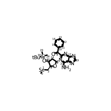 C[Se]C[C@@H]1O[C@@H](n2c(C(=O)c3ccccc3)nc3ncnc-3c2N)C[C@@H]1O[Si](C)(C)C(C)(C)C